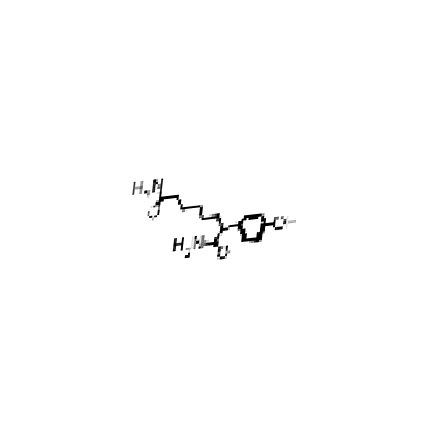 NC(=O)CCCCCC(C(N)=O)c1ccc(O)cc1